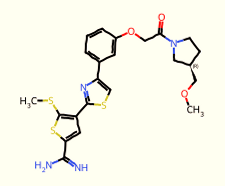 COC[C@@H]1CCN(C(=O)COc2cccc(-c3csc(-c4cc(C(=N)N)sc4SC)n3)c2)C1